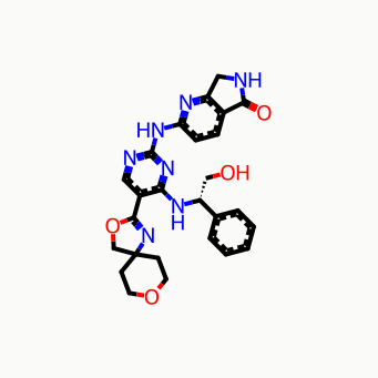 O=C1NCc2nc(Nc3ncc(C4=NC5(CCOCC5)CO4)c(N[C@H](CO)c4ccccc4)n3)ccc21